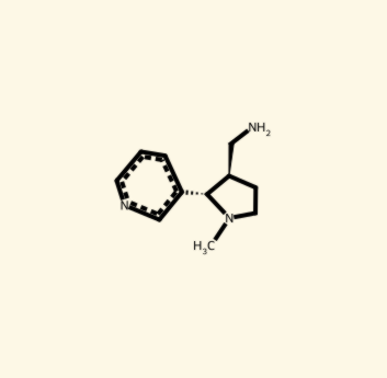 CN1CC[C@H](CN)[C@H]1c1cccnc1